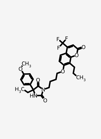 CCCc1c(OCCCCN2C(=O)NC(CC)(c3ccc(OC)cc3)C2=O)ccc2c(C(F)(F)F)cc(=O)oc12